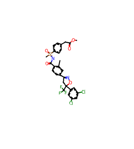 COC(=O)Cc1ccc(S(C)(=O)=NC(=O)c2ccc(C3=NOC(c4cc(Cl)cc(Cl)c4)(C(F)(F)F)C3)cc2C)cc1